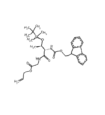 C=CCOC(=O)CNC(=O)[C@@H](NC(=O)OCC1c2ccccc2-c2ccccc21)[C@@H](C)O[Si](C)(C)C(C)(C)C